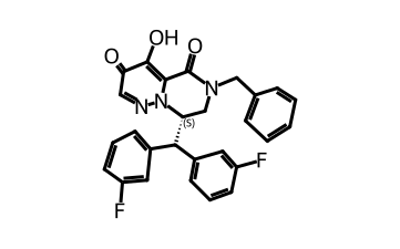 O=C1c2c(O)c(=O)cnn2[C@@H](C(c2cccc(F)c2)c2cccc(F)c2)CN1Cc1ccccc1